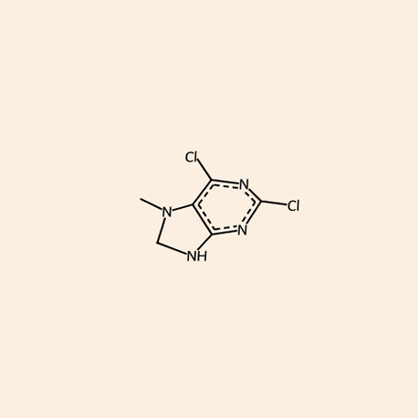 CN1CNc2nc(Cl)nc(Cl)c21